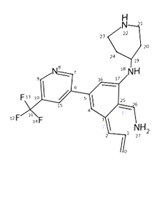 C=C/C=c1/cc(-c2cncc(C(F)(F)F)c2)cc(NC2CCNCC2)/c1=C/N